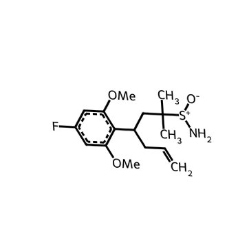 C=CCC(CC(C)(C)[S+](N)[O-])c1c(OC)cc(F)cc1OC